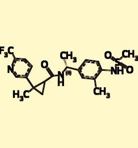 Cc1cc([C@@H](C)NC(=O)C2CC2(C)c2ccc(C(F)(F)F)nc2)ccc1NS(C)(=O)=O